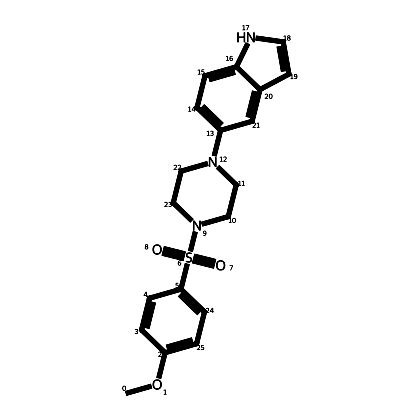 COc1ccc(S(=O)(=O)N2CCN(c3ccc4[nH]ccc4c3)CC2)cc1